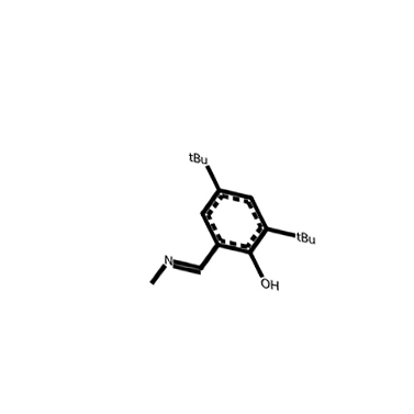 C/N=C/c1cc(C(C)(C)C)cc(C(C)(C)C)c1O